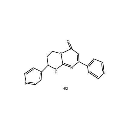 Cl.O=c1cc(-c2ccncc2)nc2n1CCC(c1ccncc1)N2